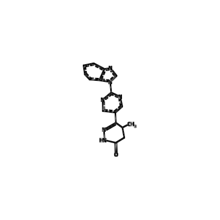 CC1CC(=O)NN=C1c1cnc(-n2cnc3ccccc32)nc1